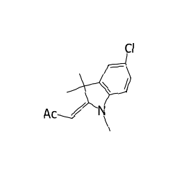 CC(=O)C=C1N(C)c2ccc(Cl)cc2C1(C)C